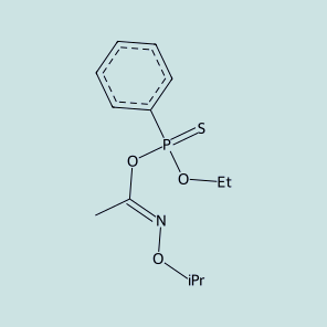 CCOP(=S)(OC(C)=NOC(C)C)c1ccccc1